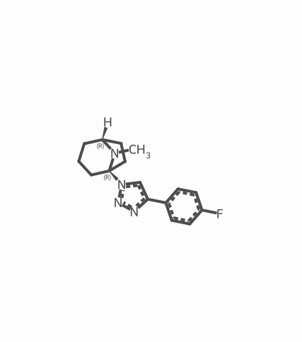 CN1[C@@H]2CCC[C@@]1(n1cc(-c3ccc(F)cc3)nn1)CC2